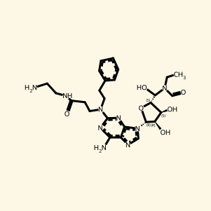 CCN(C=O)C(O)[C@H]1O[C@@H](n2cnc3c(N)nc(N(CCC(=O)NCCN)CCc4ccccc4)nc32)[C@H](O)[C@@H]1O